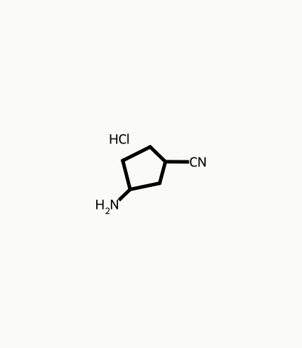 Cl.N#CC1CCC(N)C1